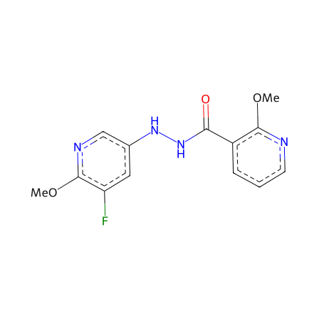 COc1ncc(NNC(=O)c2cccnc2OC)cc1F